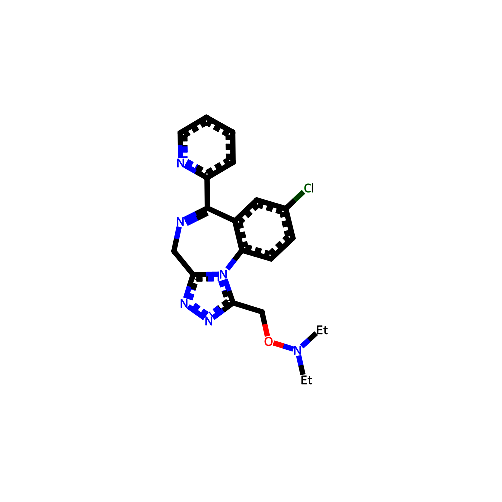 CCN(CC)OCc1nnc2n1-c1ccc(Cl)cc1C(c1ccccn1)=NC2